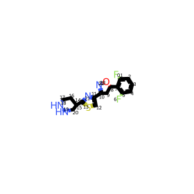 Fc1cccc(F)c1C1CC(c2csc(C3CCNNC3)n2)=NO1